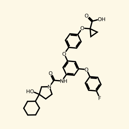 O=C(Nc1cc(Oc2ccc(F)cc2)cc(Oc2ccc(OC3(C(=O)O)CC3)cc2)c1)N1CCC(O)(C2CCCCC2)C1